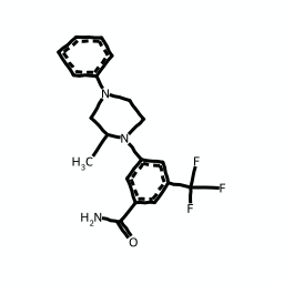 CC1CN(c2ccccc2)CCN1c1cc(C(N)=O)cc(C(F)(F)F)c1